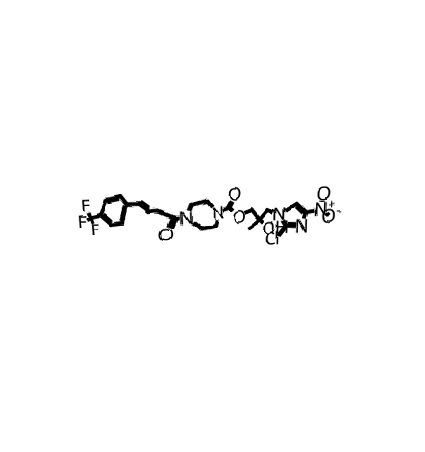 CC(O)(COC(=O)N1CCN(C(=O)CC=Cc2ccc(C(F)(F)F)cc2)CC1)Cn1cc([N+](=O)[O-])nc1Cl